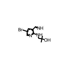 CC(C)(O)CNc1ncc(Br)cc1C=N